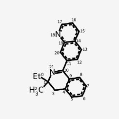 CCC1(C)Cc2ccccc2C(c2ccc3cccnc3c2)=N1